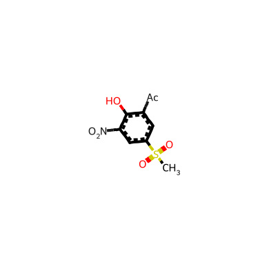 CC(=O)c1cc(S(C)(=O)=O)cc([N+](=O)[O-])c1O